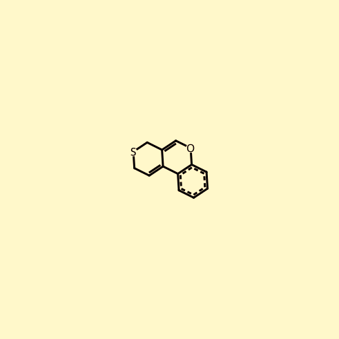 C1=C2CSCC=C2c2ccccc2O1